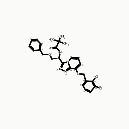 CC(C)(N)C(=O)N[C@H](COCc1ccccc1)c1nnc2c(OCc3cccc(Cl)c3Cl)cccn12